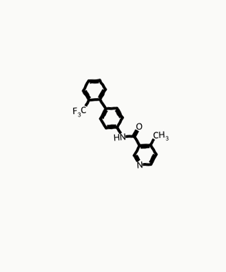 Cc1ccncc1C(=O)Nc1ccc(-c2ccccc2C(F)(F)F)cc1